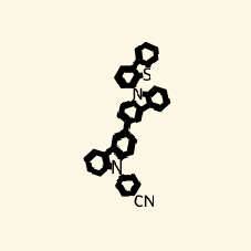 N#Cc1ccc(-n2c3c(c4cc(-c5ccc6c(c5)c5ccccc5n6-c5cccc6c5sc5ccccc56)ccc42)C=CCC3)cc1